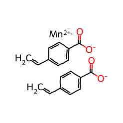 C=Cc1ccc(C(=O)[O-])cc1.C=Cc1ccc(C(=O)[O-])cc1.[Mn+2]